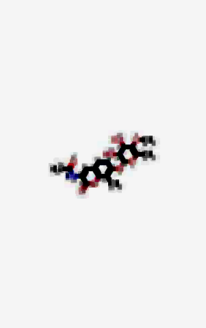 COC1=C(C)O[C@@H](Oc2ccc3cc(NC(C)=O)c(=O)oc3c2C)[C@@H](O)C1O